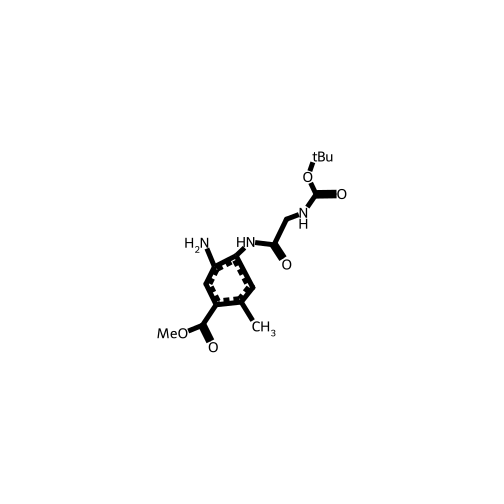 COC(=O)c1cc(N)c(NC(=O)CNC(=O)OC(C)(C)C)cc1C